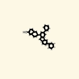 Oc1ccc2cc(-c3cc(-c4ccccc4)cc4c3Cc3ccc(-c5ccccc5)cc3-4)ccc2c1